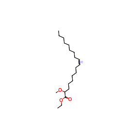 CCCCCCCC/C=C\CCCCCCC(OC)C(=O)OCC